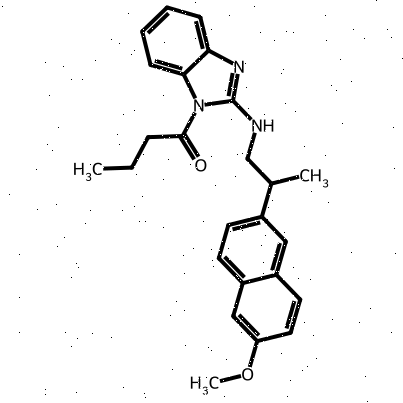 CCCC(=O)n1c(NCC(C)c2ccc3cc(OC)ccc3c2)nc2ccccc21